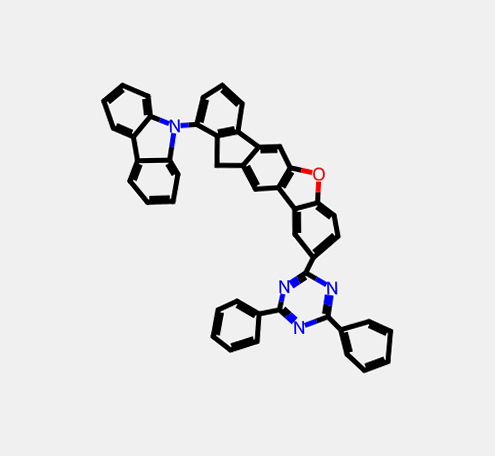 c1ccc(-c2nc(-c3ccccc3)nc(-c3ccc4oc5cc6c(cc5c4c3)Cc3c-6cccc3-n3c4ccccc4c4ccccc43)n2)cc1